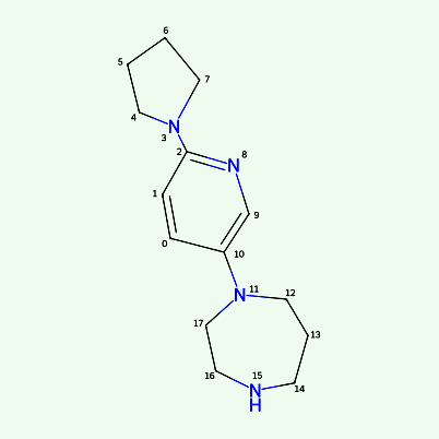 c1cc(N2CCCC2)ncc1N1CCCNCC1